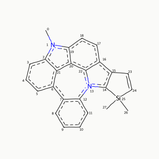 Cn1c2cccc3c4ccccc4n4c5c(c6ccc1c(c32)c64)C=C[Si]5(C)C